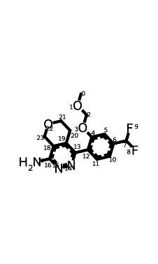 COCOc1cc(C(F)F)ccc1-c1nnc(N)c2c1CCOC2